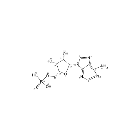 Nc1ncnc2c1ncn2[C@@H]1O[C@H](COP(O)(O)=S)[C@H](O)[C@@H]1O